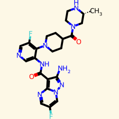 C[C@@H]1CN(C(=O)C2CCN(c3c(F)cncc3NC(=O)c3c(N)nn4cc(F)cnc34)CC2)CCN1